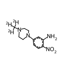 [2H]C([2H])([2H])N1CCN(c2ccc([N+](=O)[O-])c(N)c2)CC1